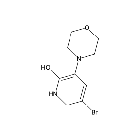 OC1=C(N2CCOCC2)C=C(Br)CN1